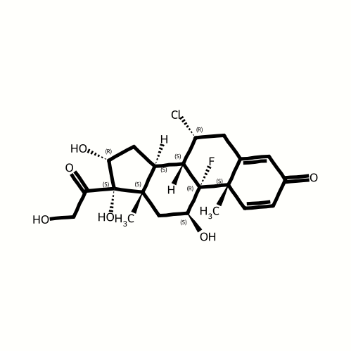 C[C@]12C=CC(=O)C=C1C[C@@H](Cl)[C@H]1[C@@H]3C[C@@H](O)[C@](O)(C(=O)CO)[C@@]3(C)C[C@H](O)[C@@]12F